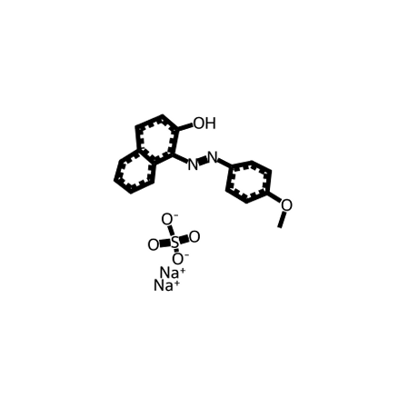 COc1ccc(N=Nc2c(O)ccc3ccccc23)cc1.O=S(=O)([O-])[O-].[Na+].[Na+]